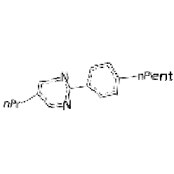 CCCCCc1ccc(-c2ncc(CCC)cn2)cc1